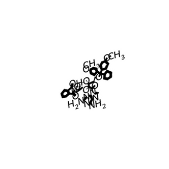 COc1ccc(C(OC[C@H]2O[C@@H](n3cnc4c(N)nc(N)nc43)[C@H](OCC[N+]3([O-])C(=O)c4ccccc4C3=O)[C@@H]2O)(c2ccccc2)c2ccc(OC)cc2)cc1